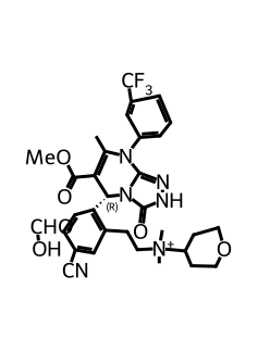 COC(=O)C1=C(C)N(c2cccc(C(F)(F)F)c2)c2n[nH]c(=O)n2[C@@H]1c1ccc(C#N)cc1CC[N+](C)(C)C1CCOCC1.O=CO